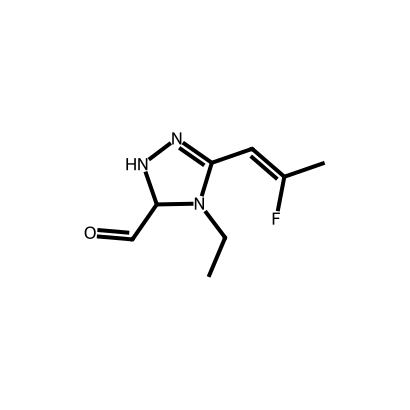 CCN1C(C=C(C)F)=NNC1C=O